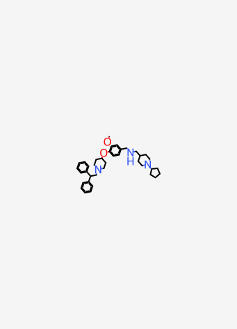 COc1cc(CNCC2CCN(C3CCCC3)CC2)ccc1OC1CCN(CC(c2ccccc2)c2ccccc2)CC1